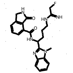 Cn1c(C(CCCNC(=N)CF)NC(=O)c2cccc3c2C(=O)NC3)nc2ccccc21